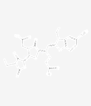 [C-]#[N+]c1ccc2c(c1)N(CC)/C(=C/C(CCC(=O)O)=c1/s/c(=C3\SC(=S)N(CC)C3=O)n(CC(=O)O)c1=O)S2